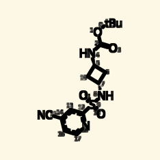 CC(C)(C)OC(=O)N[C@H]1C[C@H](NS(=O)(=O)c2cc(C#N)ccn2)C1